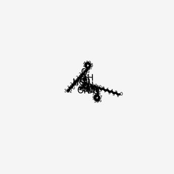 CCCCCCCCCCC[C@H](CC(=O)N[C@H]1[C@@H](OC(=O)C[C@@H](CCCCCCCCCCC)OCc2ccccc2)[C@H](O)[C@@H](CO)O[C@@H]1O)OCc1ccccc1